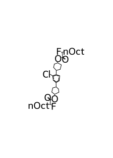 CCCCCCCCC(F)C(=O)OC1CCC(c2ccc(C3CCC(OC(=O)C(F)CCCCCCCC)CC3)c(Cl)c2)CC1